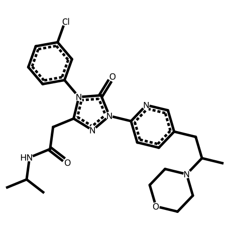 CC(C)NC(=O)Cc1nn(-c2ccc(CC(C)N3CCOCC3)cn2)c(=O)n1-c1cccc(Cl)c1